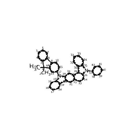 CC1(C)c2ccccc2-c2ccc(-n3c4ccccc4c4cc5ccc6c(c5cc43)c3ccccc3n6-c3ccccc3)cc21